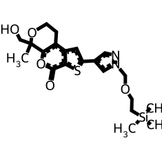 CC1(CO)OCCc2c1oc(=O)c1sc(-c3cnn(COCC[Si](C)(C)C)c3)cc21